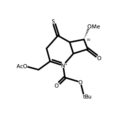 CO[C@@H]1C(=O)C2C1C(=S)CC(COC(C)=O)=[N+]2C(=O)OC(C)(C)C